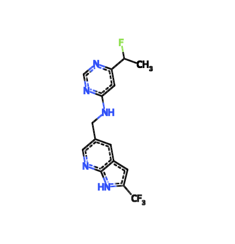 CC(F)c1cc(NCc2cnc3[nH]c(C(F)(F)F)cc3c2)ncn1